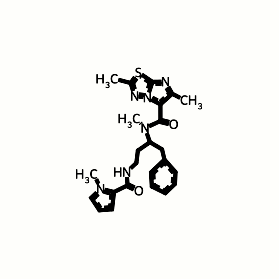 Cc1nn2c(C(=O)N(C)C(CCNC(=O)c3cccn3C)Cc3ccccc3)c(C)nc2s1